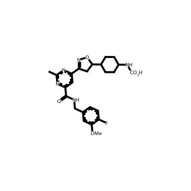 COc1cc(CNC(=O)c2cc(C3=NOC(C4CCC(NC(=O)O)CC4)C3)nc(C)n2)ccc1F